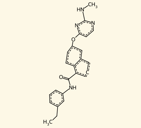 CCc1cccc(NC(=O)c2cccc3cc(Oc4ccnc(NC)n4)ccc23)c1